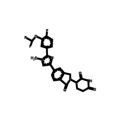 Cn1cc(-c2ccc3c(c2)CN(C2CCC(=O)NC2=O)C3=O)nc1-c1ccc(F)c(OC(F)F)c1